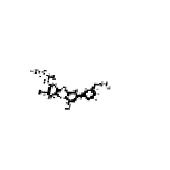 CC(Oc1nc(Oc2cc(Cl)cc(-c3cccc(CN)c3)c2)c(F)cc1F)C(=O)O